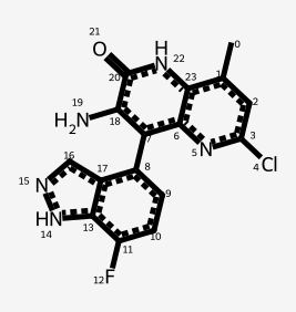 Cc1cc(Cl)nc2c(-c3ccc(F)c4[nH]ncc34)c(N)c(=O)[nH]c12